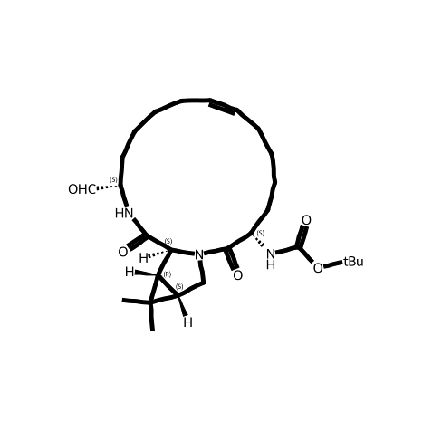 CC(C)(C)OC(=O)N[C@H]1CCCCC=CCCCC[C@@H](C=O)NC(=O)[C@@H]2[C@@H]3[C@H](CN2C1=O)C3(C)C